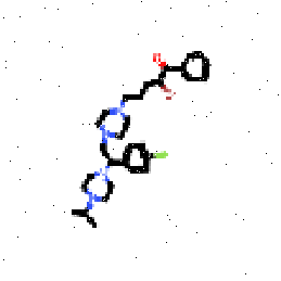 CC(C)N1CCN(C(CN2CCN(CCCC(Br)C(=O)c3ccccc3)CC2)c2ccc(F)cc2)CC1